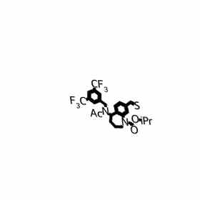 CC(=O)N(Cc1cc(C(F)(F)F)cc(C(F)(F)F)c1)C1CCCN(C(=O)OC(C)C)c2cc(C=S)ccc21